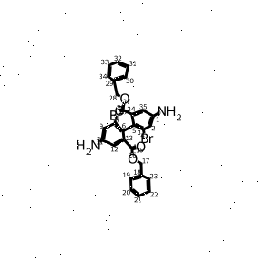 Nc1cc(Br)c(-c2c(Br)cc(N)cc2C(=O)OCc2ccccc2)c(C(=O)OCc2ccccc2)c1